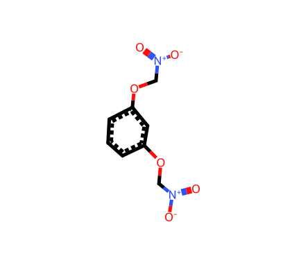 O=[N+]([O-])COc1cccc(OC[N+](=O)[O-])c1